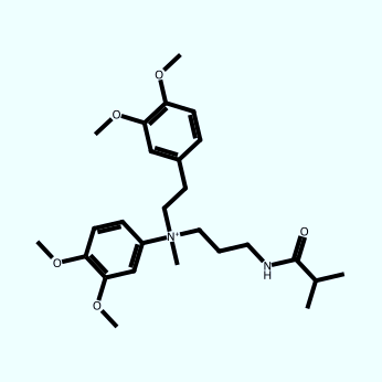 COc1ccc(CC[N+](C)(CCCNC(=O)C(C)C)c2ccc(OC)c(OC)c2)cc1OC